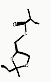 CCC1(C)OCC(COC(=O)C(C)C)O1